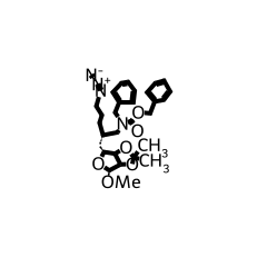 CO[C@@H]1O[C@H](C[C@H](CCCN=[N+]=[N-])CN(Cc2ccccc2)C(=O)OCc2ccccc2)C2OC(C)(C)OC21